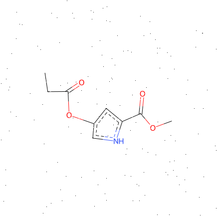 CCC(=O)Oc1c[nH]c(C(=O)OC)c1